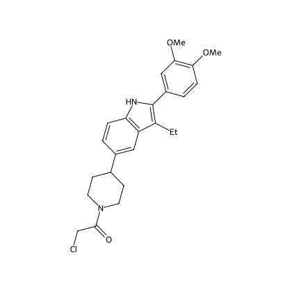 CCc1c(-c2ccc(OC)c(OC)c2)[nH]c2ccc(C3CCN(C(=O)CCl)CC3)cc12